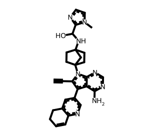 C#Cc1c(-c2cnc3c(c2)CCC=C3)c2c(N)ncnc2n1C12CCC(NC(O)c3nccn3C)(CC1)C2